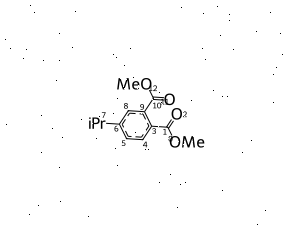 COC(=O)c1ccc(C(C)C)cc1C(=O)OC